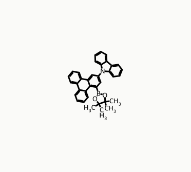 CC1(C)OB(c2cc(-n3c4ccccc4c4ccccc43)cc3c4ccccc4c4ccccc4c23)OC1(C)C